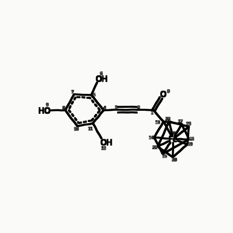 O=C(C#Cc1c(O)cc(O)cc1O)[C]12[CH]3[CH]4[CH]5[CH]1[Fe]45321678[CH]2[CH]1[CH]6[CH]7[CH]28